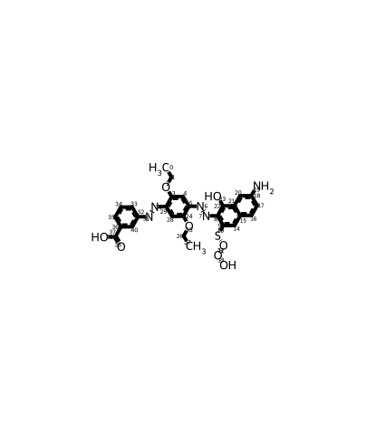 CCOc1cc(N=Nc2c(SOOO)cc3ccc(N)cc3c2O)c(OCC)cc1N=Nc1cccc(C(=O)O)c1